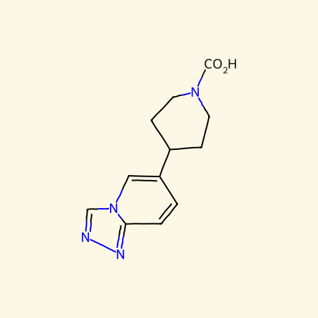 O=C(O)N1CCC(c2ccc3nncn3c2)CC1